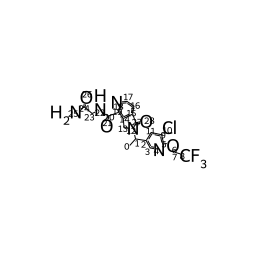 CC(c1cnc(OCC(F)(F)F)c(Cl)c1)N1Cc2c(ccnc2C(=O)NCC(N)=O)C1=O